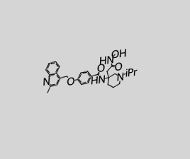 Cc1cc(COc2ccc(C(=O)NC3(CC(=O)NO)CCCN(C(C)C)C3)cc2)c2ccccc2n1